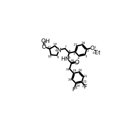 CCOc1ccc(C(CN2CCC(OO)C2)NC(=O)Cc2ccc(F)c(F)c2)cc1